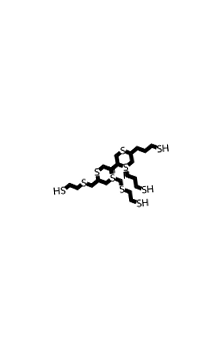 SCCCC1C[SH](CCCS)C(C2CSC(CSCCS)C[SH]2CSCCS)CS1